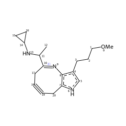 COCCCc1c[nH]c2c1/N=C(/C(C)NC1CC1)CC#CC2